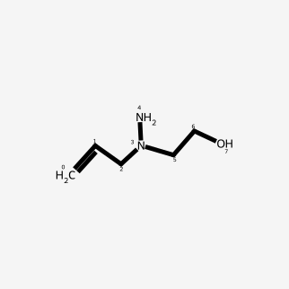 C=CCN(N)CCO